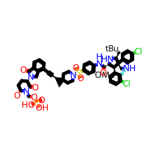 COc1cc(S(=O)(=O)N2CCC3(CC2)C[C@H]3C#Cc2cccc3c2CN([C@H]2CCC(=O)N(COP(=O)(O)O)C2=O)C3=O)ccc1NC(=O)[C@@H]1N[C@@H](CC(C)(C)C)[C@@]2(CNc3cc(Cl)ccc32)[C@H]1c1cccc(Cl)c1F